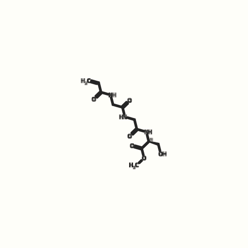 C=CC(=O)NCC(=O)NCC(=O)N[C@@H](CO)C(=O)OC